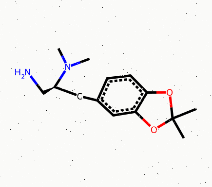 CN(C)[C@H](CN)Cc1ccc2c(c1)OC(C)(C)O2